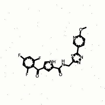 COc1ccc(-c2nnc(CNC(=O)c3cc(C(=O)c4c(F)cc(F)cc4F)c[nH]3)s2)cn1